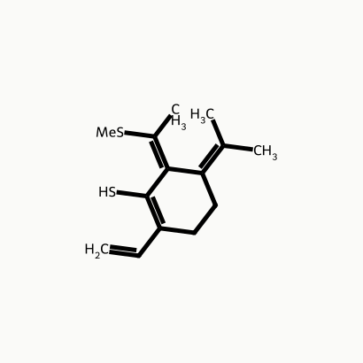 C=CC1=C(S)/C(=C(/C)SC)C(=C(C)C)CC1